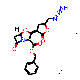 N=[N+]=NCC1CC(=C2O[C@@H]3CC(=O)N3C2C(=O)OCc2ccccc2)C(=O)O1